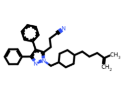 C=C(C)CCCC1CCC(Cn2nc(C3=CC=CCC3)c(-c3ccccc3)c2CCC#N)CC1